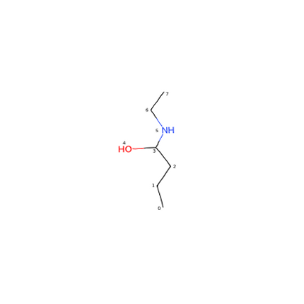 CCCC(O)NCC